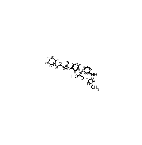 Cn1cc(Nc2nccc(N(C(=O)O)c3cccc(NC(=O)/C=C/CN4CCCCC4)c3)n2)cn1